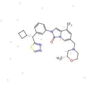 C[C@@H]1CN(Cc2cc(C(F)(F)F)c3cn(-c4cccc([C@H](c5nncs5)C5CCC5)c4)c(=O)n3c2)CCO1